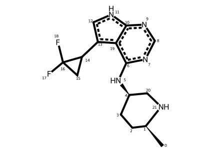 C[C@H]1CC[C@@H](Nc2ncnc3[nH]cc(C4CC4(F)F)c23)CN1